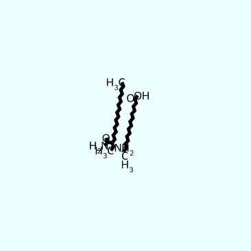 CCCCCCCCCCCCCCCC(=O)O.CCCCCCCCCCCCCCCCC(C(N)=O)C(C)N